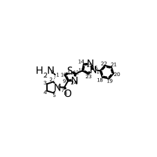 NC[C@H]1CCCN1C(=O)c1csc(-c2cnn(-c3ccccc3)c2)n1